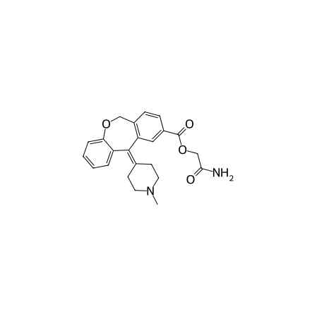 CN1CCC(=C2c3cc(C(=O)OCC(N)=O)ccc3COc3ccccc32)CC1